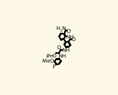 COc1cc(NC(COC(C)C)C(=O)Nc2ccc3c(=O)[nH]c4c(C(N)=O)cccc4c3c2)ccc1F